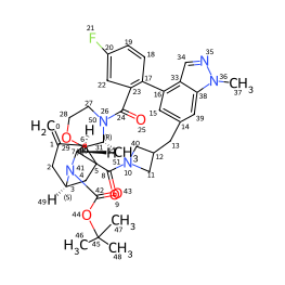 C=C1C[C@@H]2CC[C@H]1[C@H](C(=O)N1CC(Cc3cc(-c4ccc(F)cc4C(=O)N4CCOC[C@H]4C)c4cnn(C)c4c3)C1)N2C(=O)OC(C)(C)C